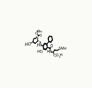 CSCCC(NC(=O)c1ccc(NC[C@@H]2C[C@@H](O)CN2C(=O)OC(C)(C)C)cc1-c1ccccc1)C(=O)O.Cl